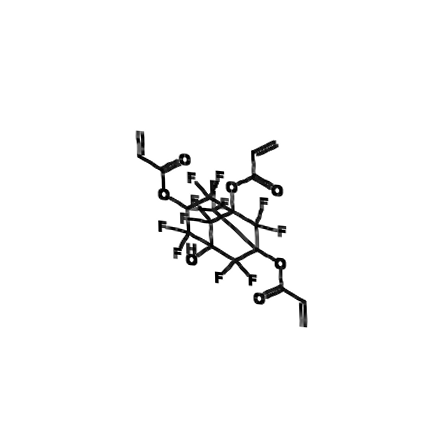 C=CC(=O)OC12C(F)(F)C3(O)C(F)(F)C(OC(=O)C=C)(C1(F)F)C(F)(F)C(OC(=O)C=C)(C3(F)F)C2(F)F